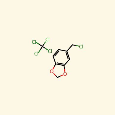 ClC(Cl)(Cl)Cl.ClCc1ccc2c(c1)OCO2